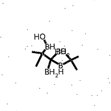 BC(B)(BC(C)(C)O)C(C)(C)BO